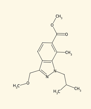 COCc1nn(CC(C)C)c2c(C)c(C(=O)OC)ccc12